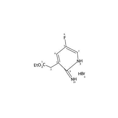 Br.CCOC(=O)Cc1cc(F)c[nH]c1=N